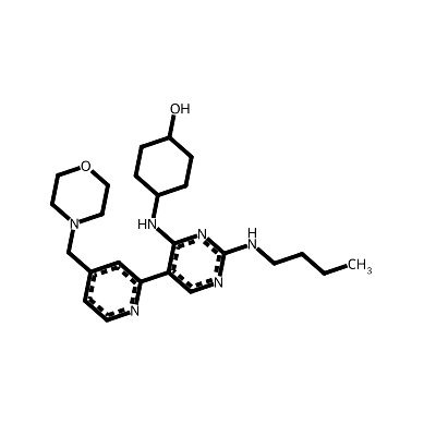 CCCCNc1ncc(-c2cc(CN3CCOCC3)ccn2)c(NC2CCC(O)CC2)n1